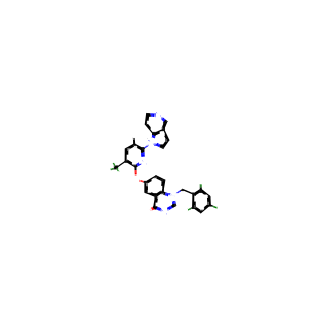 Cc1cc(C(F)(F)F)c(Oc2ccc3c(c2)c(=O)ncn3Cc2c(F)cc(F)cc2F)nc1-n1ccc2cnccc21